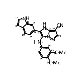 COc1ccc(Nc2c(-c3ccc4cc[nH]c4c3)[nH]c3c(C#N)cnn23)cc1OC